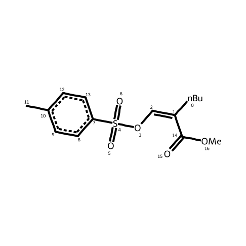 CCCC/C(=C/OS(=O)(=O)c1ccc(C)cc1)C(=O)OC